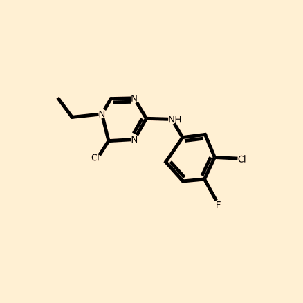 CCN1C=NC(Nc2ccc(F)c(Cl)c2)=NC1Cl